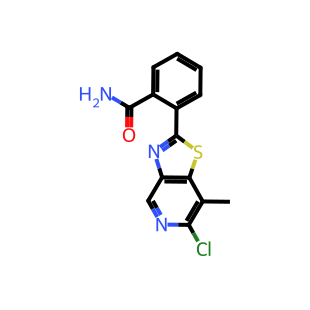 Cc1c(Cl)ncc2nc(-c3ccccc3C(N)=O)sc12